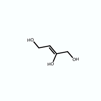 OCC=C(O)CO